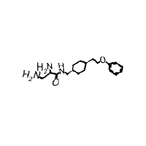 NCC(N)C(=O)NC[C@H]1CC[C@@H](CCOc2ccccc2)CC1